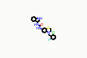 O=C(Nc1ccc2c(c1)SCCN2Cc1c(F)cccc1Cl)Nc1c[nH]c2ccccc12